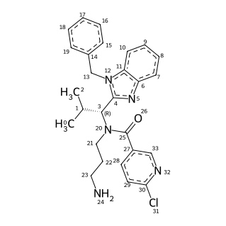 CC(C)[C@H](c1nc2ccccc2n1Cc1ccccc1)N(CCCN)C(=O)c1ccc(Cl)nc1